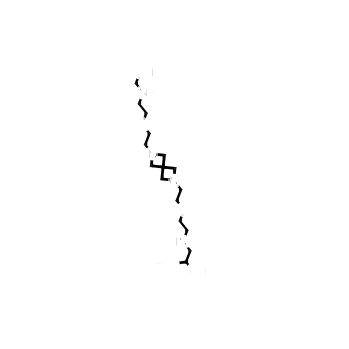 CCNCCOCCN1CC2(C1)CN(CCOCCNCC(C)C)C2